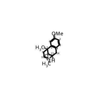 COc1ccc2c(c1)[C@@]1(C)CCN(C)[C@@H](C2)C1=O